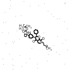 COCCn1ccc2c(=O)c(-c3ccc(C4(NC(=O)OC(C)(C)C)CCC4)cc3)c(-c3ccccc3)oc2c1=O